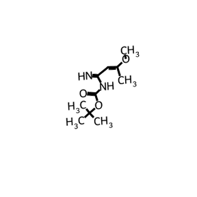 COC(C)=CC(=N)NC(=O)OC(C)(C)C